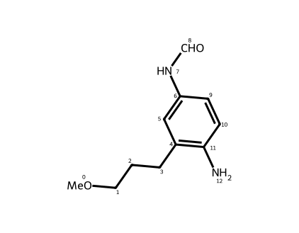 COCCCc1cc(NC=O)ccc1N